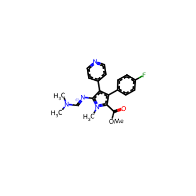 COC(=O)c1c(-c2ccc(F)cc2)c(-c2ccncc2)c(/N=C/N(C)C)n1C